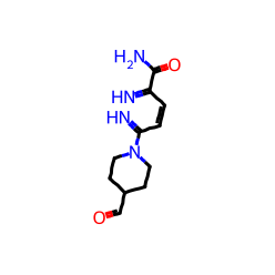 N=C(/C=C\C(=N)N1CCC(C=O)CC1)C(N)=O